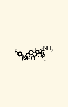 COCC(=O)O[C@]1(C(=O)SCN)[C@H](C)CC2[C@@H]3CCC4=Cc5c(cnn5-c5ccc(F)cc5)C[C@]4(C)C3[C@@H](O)C[C@@]21C